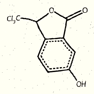 O=C1OC(C(Cl)(Cl)Cl)c2ccc(O)cc21